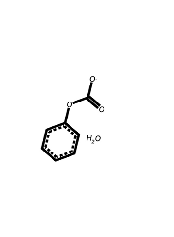 O.[O]C(=O)Oc1ccccc1